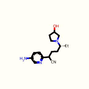 CC[C@H](CCC(C#N)c1ccc(N)cn1)N1CCC(O)C1